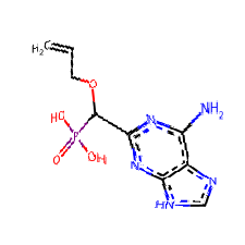 C=CCOC(c1nc(N)c2nc[nH]c2n1)P(=O)(O)O